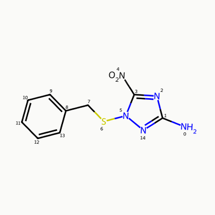 Nc1nc([N+](=O)[O-])n(SCc2ccccc2)n1